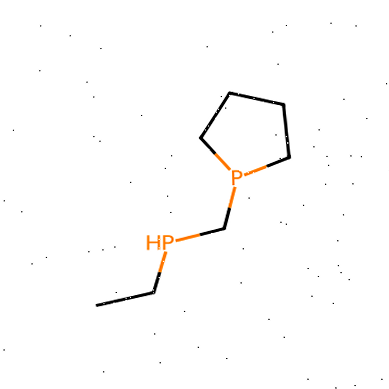 CCPCP1CCCC1